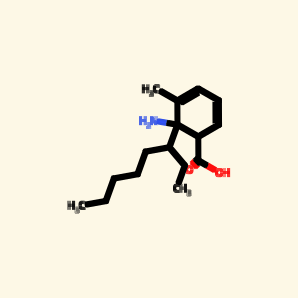 CCCCCC(CC)C1(N)C(C)=CC=CC1C(=O)O